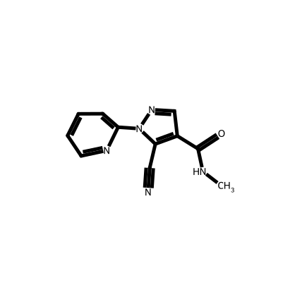 CNC(=O)c1cnn(-c2ccccn2)c1C#N